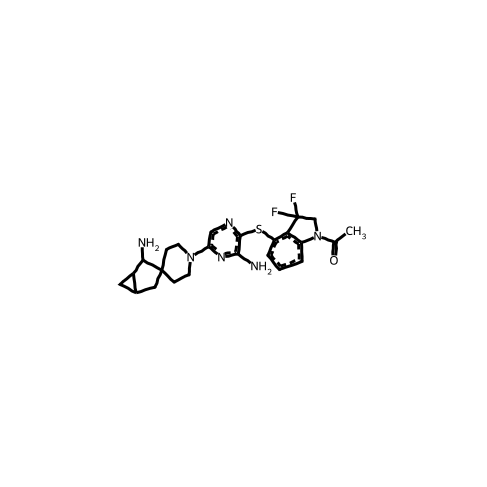 CC(=O)N1CC(F)(F)c2c(Sc3ncc(N4CCC5(CC4)CC4CC4C5N)nc3N)cccc21